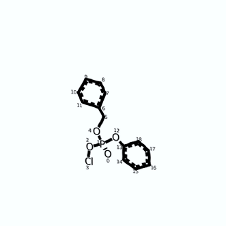 O=P(OCl)(OCc1ccccc1)Oc1ccccc1